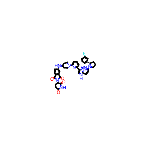 N=C(/C=C\C1NC=C(c2cccc(N3CCC(Nc4ccc5c(c4)C(=O)N(C4CCC(=O)NC4=O)C5=O)CC3)n2)N1)N1CCC[C@@H]1c1cccc(F)c1